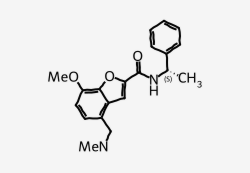 CNCc1ccc(OC)c2oc(C(=O)N[C@@H](C)c3ccccc3)cc12